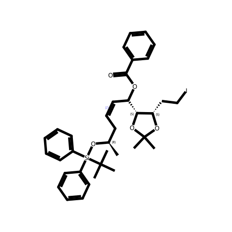 C[C@H](C/C=C\C(OC(=O)c1ccccc1)[C@H]1OC(C)(C)O[C@H]1CCI)O[Si](c1ccccc1)(c1ccccc1)C(C)(C)C